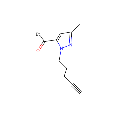 C#CCCCn1nc(C)cc1C(=O)CC